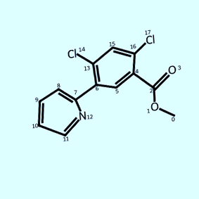 COC(=O)c1cc(-c2ccccn2)c(Cl)cc1Cl